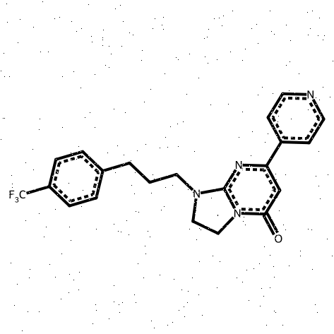 O=c1cc(-c2ccncc2)nc2n1CCN2CCCc1ccc(C(F)(F)F)cc1